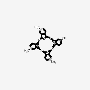 C[n+]1ccc2c(c1)-c1nc-2nc2[nH]c(nc3nc(nc4[nH]c(n1)c1cc[n+](C)cc41)-c1cc[n+](C)cc1-3)c1cc[n+](C)cc21